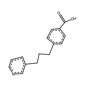 O=C(O)c1ccc(CCCc2cccnc2)cc1